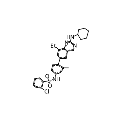 CCc1cc(-c2ccc(NS(=O)(=O)c3ccccc3Cl)cc2C)cc2cnc(NC3CCCCC3)nc12